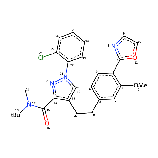 COc1cc2c(cc1-c1ncco1)-c1c(c(C(=O)N(C)C(C)(C)C)nn1-c1ccccc1Cl)CC2